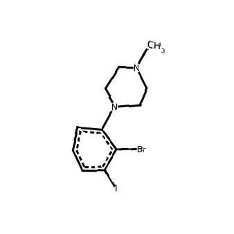 CN1CCN(c2cccc(I)c2Br)CC1